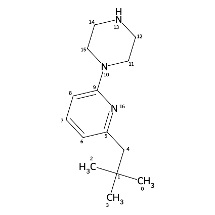 CC(C)(C)Cc1cccc(N2CCNCC2)n1